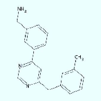 Cc1cccc(Cc2cc(-c3cccc(CN)c3)ncn2)c1